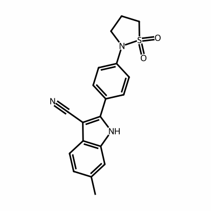 Cc1ccc2c(C#N)c(-c3ccc(N4CCCS4(=O)=O)cc3)[nH]c2c1